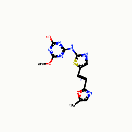 CCCOc1nc(O)nc(Nc2ncc(/C=C/c3ncc(C(C)(C)C)o3)s2)n1